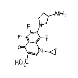 NC1CCN(c2c(F)c(F)c3c(=O)c(C(=O)O)cn(C4CC4)c3c2F)C1